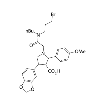 CCCCN(CCCBr)C(=O)CN1CC(c2ccc3c(c2)OCO3)C(C(=O)O)C1c1ccc(OC)cc1